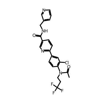 CC(=O)N(CCC(F)(F)F)c1ccc(-c2ccc(C(=O)NCc3cccnc3)cn2)cc1Cl